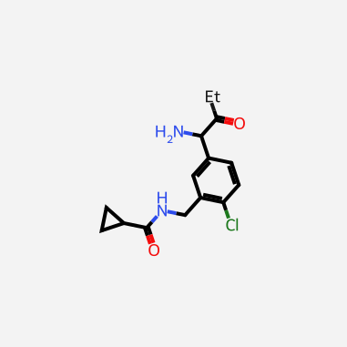 CCC(=O)C(N)c1ccc(Cl)c(CNC(=O)C2CC2)c1